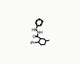 CC1CCC(C(C)C)C(C(=O)NNc2ccccc2)C1